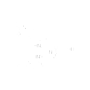 O=C(N[C@H]1CN(S(=O)(=O)CCO)C[C@H]1NC(=O)c1ccc(Cl)s1)c1ccc(-n2ccccc2=O)cc1